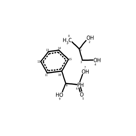 CC(O)CO.O=[PH](O)C(O)c1ccccc1